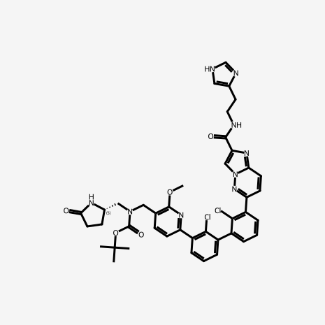 COc1nc(-c2cccc(-c3cccc(-c4ccc5nc(C(=O)NCCc6c[nH]cn6)cn5n4)c3Cl)c2Cl)ccc1CN(C[C@@H]1CCC(=O)N1)C(=O)OC(C)(C)C